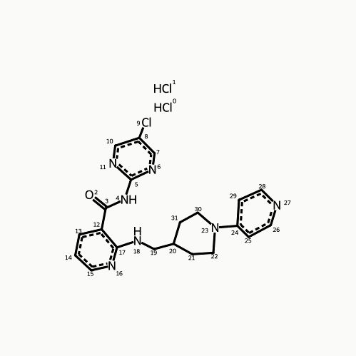 Cl.Cl.O=C(Nc1ncc(Cl)cn1)c1cccnc1NCC1CCN(c2ccncc2)CC1